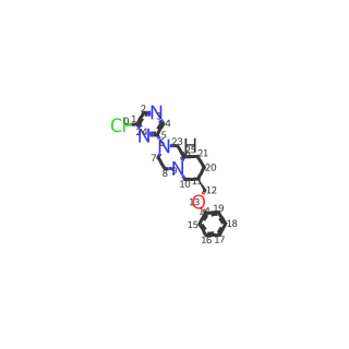 Clc1cncc(N2CCN3C[C@H](COc4ccccc4)CC[C@H]3C2)n1